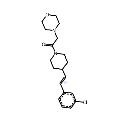 O=C(CN1CCOCC1)N1CCC(/C=C/c2cccc(Cl)c2)CC1